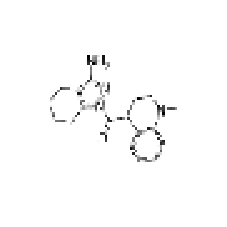 CN1CCC(C(=O)n2nc(N)c3c2CCCC3)c2ccccc21